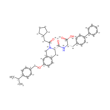 CC(C)c1ccc(COc2ccc3c(c2)CN(C(=O)CC2CCCC2)[C@H](C(=O)N[C@@H](Cc2ccc(-c4ccccc4)cc2)C(=O)O)C3)cc1